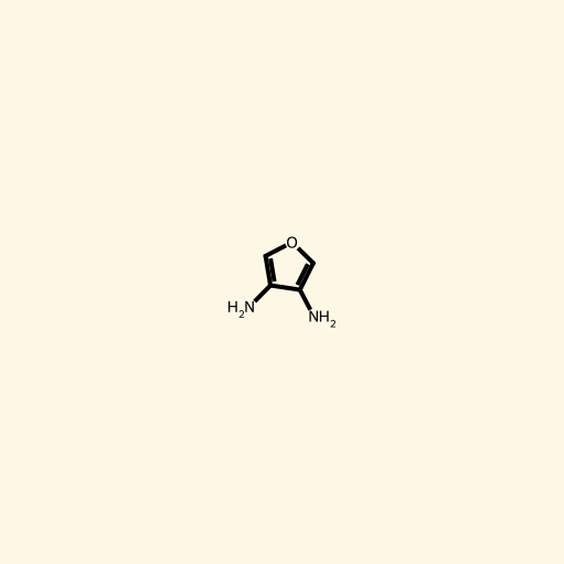 Nc1cocc1N